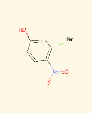 O=[N+]([O-])c1ccc(O)cc1.[F-].[Na+]